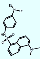 CCN(CC)c1ccc(NS(=O)(=O)c2cccc3c(N(C)C)cccc23)cc1